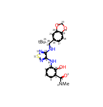 CNC(=O)c1cccc(Nc2nsnc2N[C@@H](c2ccc3c(c2)OCO3)C(C)(C)C)c1O